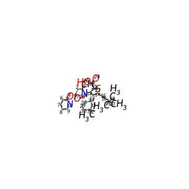 CC(CCOc1ccccn1)N(c1cc(C#CC(C)(C)C)sc1C(=O)O)C(=O)[C@H]1CC[C@H](C)CC1